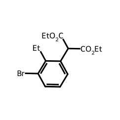 CCOC(=O)C(C(=O)OCC)c1cccc(Br)c1CC